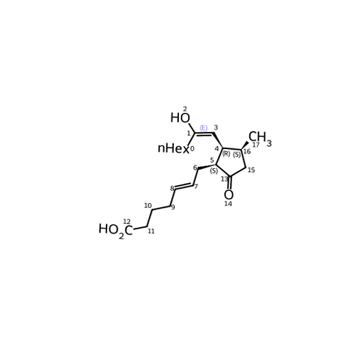 CCCCCC/C(O)=C\[C@@H]1[C@H](CC=CCCCC(=O)O)C(=O)C[C@@H]1C